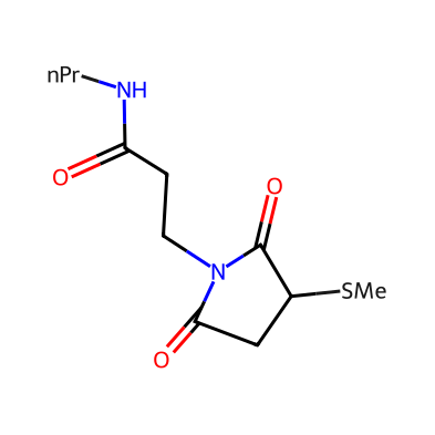 CCCNC(=O)CCN1C(=O)CC(SC)C1=O